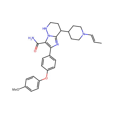 CC=CN1CCC(C2CCNn3c2nc(-c2ccc(Oc4ccc(OC)cc4)cc2)c3C(N)=O)CC1